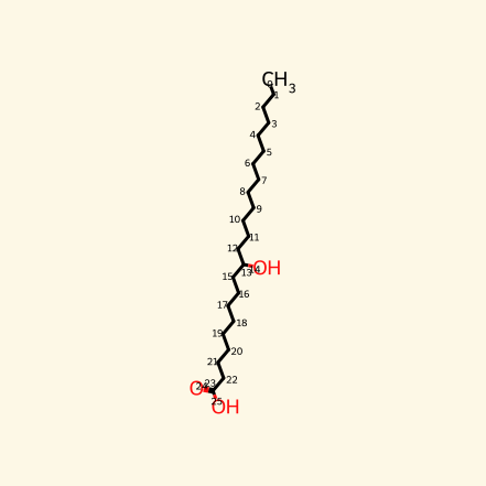 CCCCCCCCCCCCCC(O)CCCCCCCCC(=O)O